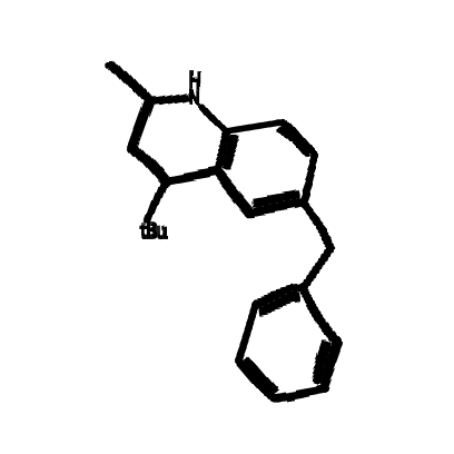 CC1CC(C(C)(C)C)c2cc(Cc3ccccc3)ccc2N1